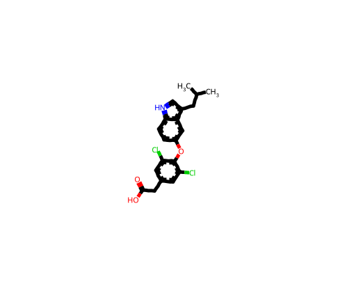 CC(C)Cc1c[nH]c2ccc(Oc3c(Cl)cc(CC(=O)O)cc3Cl)cc12